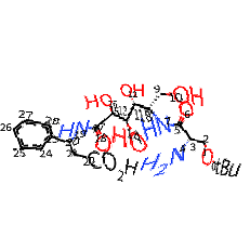 CC(C)(C)OC[C@H](N)C(=O)N[C@@H](CO)[C@@H](O)[C@@H](O)[C@H](O)C(=O)N[C@@H](CC(=O)O)c1ccccc1